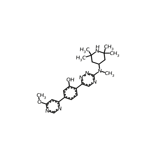 COc1cc(-c2ccc(-c3cnc(N(C)C4CC(C)(C)NC(C)(C)C4)nn3)c(O)c2)ncn1